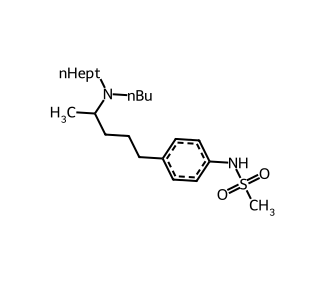 CCCCCCCN(CCCC)C(C)CCCc1ccc(NS(C)(=O)=O)cc1